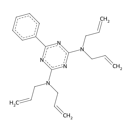 C=CCN(CC=C)c1nc(-c2ccccc2)nc(N(CC=C)CC=C)n1